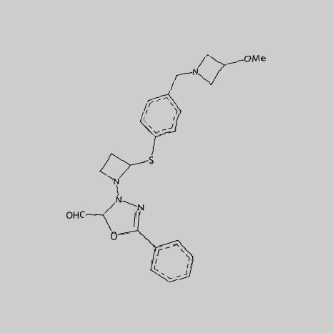 COC1CN(Cc2ccc(SC3CCN3N3N=C(c4ccccc4)OC3C=O)cc2)C1